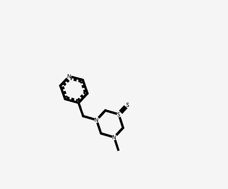 CN1CN(Cc2ccncc2)CS(=S)C1